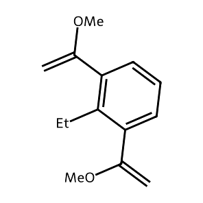 C=C(OC)c1cccc(C(=C)OC)c1CC